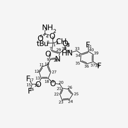 CC(C)(C)C(C)(OC(N)=O)c1oc(-c2ccc(OC(F)F)c(OCc3ccccc3)c2)nc1C(=O)NCc1ccc(F)cc1F